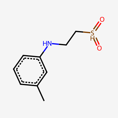 Cc1cccc(NCC[SH](=O)=O)c1